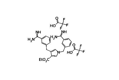 CCOC(=O)c1cn(Cc2cccc(C(=N)N)c2)cc1Cc1cccc(C(=N)N)c1.O=C(O)C(F)(F)F.O=C(O)C(F)(F)F